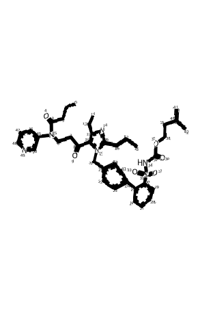 CCCC(=O)N(CCC(=O)c1c(CC)nc(CCC)n1Cc1ccc(-c2ccccc2S(=O)(=O)NC(=O)OCCC(C)C)cc1)c1cccnc1